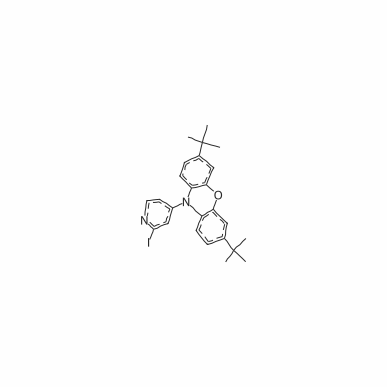 CC(C)(C)c1ccc2c(c1)Oc1cc(C(C)(C)C)ccc1N2c1ccnc(I)c1